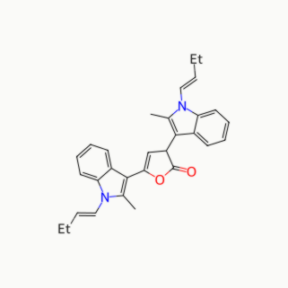 CCC=Cn1c(C)c(C2=CC(c3c(C)n(C=CCC)c4ccccc34)C(=O)O2)c2ccccc21